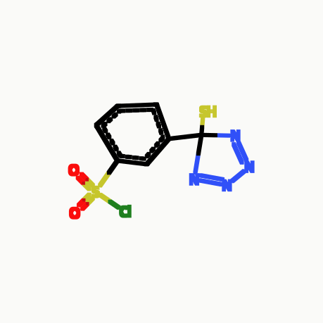 O=S(=O)(Cl)c1cccc(C2(S)N=NN=N2)c1